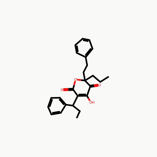 CCCC1(CCc2ccccc2)OC(=O)C(C(CC)c2ccccc2)=C(O)C1=O